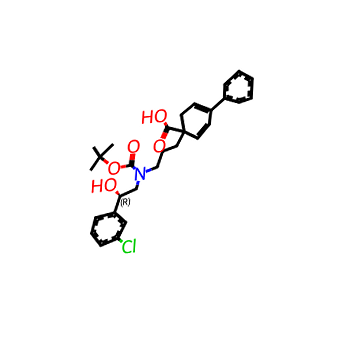 CC(C)(C)OC(=O)N(CCCC1(C(=O)O)C=CC(c2ccccc2)=CC1)C[C@H](O)c1cccc(Cl)c1